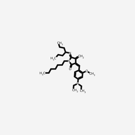 C=C1C(=NC(CCC)CCC)N(CCCCCCC)C(=O)/C1=C\c1ccc(N(CC)CC)cc1OC